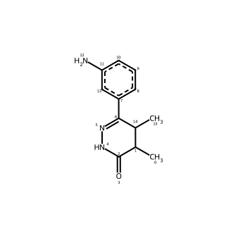 CC1C(=O)NN=C(c2cccc(N)c2)C1C